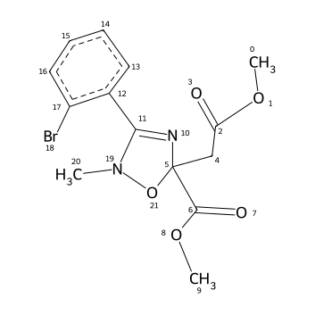 COC(=O)CC1(C(=O)OC)N=C(c2ccccc2Br)N(C)O1